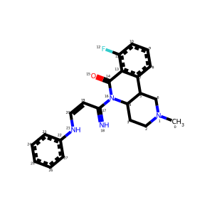 CN1CCC2C(C1)c1cccc(F)c1C(=O)N2C(=N)/C=C\Nc1ccccc1